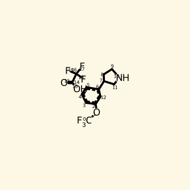 FC(F)(F)Oc1cccc(C2CCNC2)c1.O=C(O)C(F)(F)F